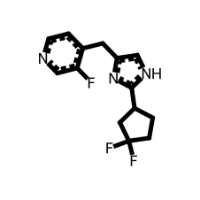 Fc1cnccc1Cc1c[nH]c(C2CCC(F)(F)C2)n1